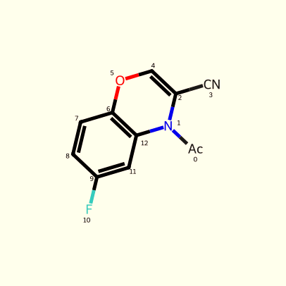 CC(=O)N1C(C#N)=COc2ccc(F)cc21